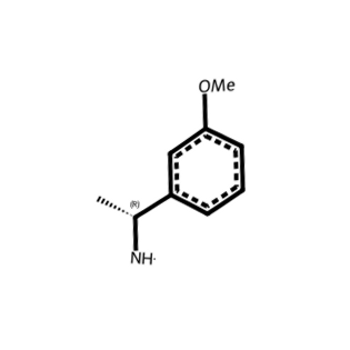 COc1cccc([C@@H](C)[NH])c1